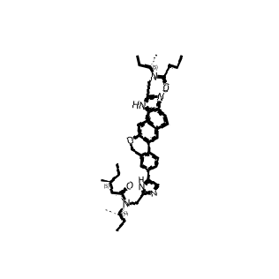 CCCC(=O)N(Cc1nc2ccc3cc4c(cc3c2[nH]1)OCc1cc(-c2cnc(CN(C(=O)C[C@@H](C)CC)[C@@H](C)CC)[nH]2)ccc1-4)[C@@H](C)CC